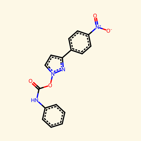 O=C(Nc1ccccc1)On1ccc(-c2ccc([N+](=O)[O-])cc2)n1